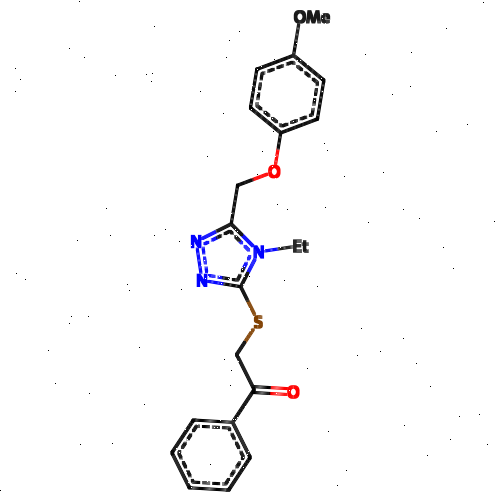 CCn1c(COc2ccc(OC)cc2)nnc1SCC(=O)c1ccccc1